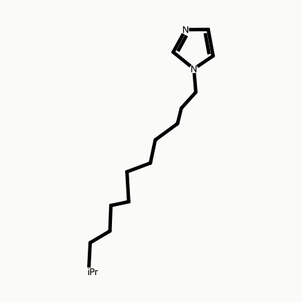 CC(C)CCCCCCCCCCn1ccnc1